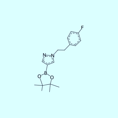 CC1(C)OB(c2cnn(CCc3ccc(F)cc3)c2)OC1(C)C